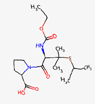 CCOC(=O)N[C@H](C(=O)N1CCCC1C(=O)O)C(C)(C)SC(C)C